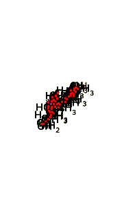 CCN[C@H]1CO[C@@H](O[C@H]2[C@H](O[C@H]3C#C/C=C\C#C[C@]4(O)CC(=O)C(NC(=O)OC)=C3/C4=C\CSSC(C)(C)CCNC(=O)CC[C@@H](N)C(=O)O)O[C@H](C)[C@@H](NO[C@H]3C[C@H](O)[C@H](SC(=O)c4c(C)c(I)c(O[C@@H]5O[C@@H](C)[C@H](O)[C@@H](OC)[C@H]5O)c(OC)c4OC)[C@@H](C)O3)[C@@H]2O)C[C@@H]1OC